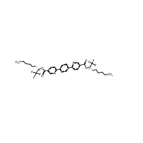 CCCCCC[C@H](OC(=O)c1ccc(-c2ccc(-c3ccc(C(=O)O[C@@H](CCCCCC)C(F)(F)F)cn3)cc2)nc1)C(F)(F)F